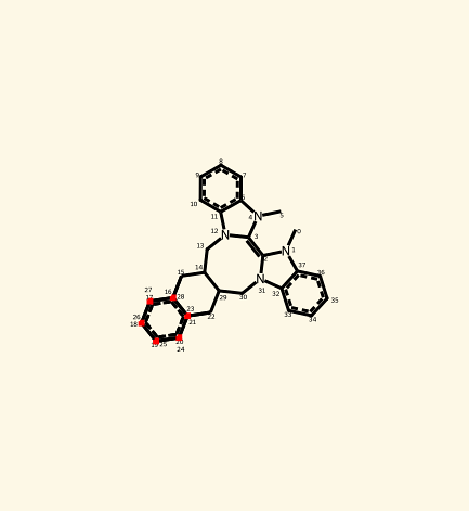 CN1/C2=C3\N(C)c4ccccc4N3CC3C4c5ccccc5C(c5ccccc54)C3CN2c2ccccc21